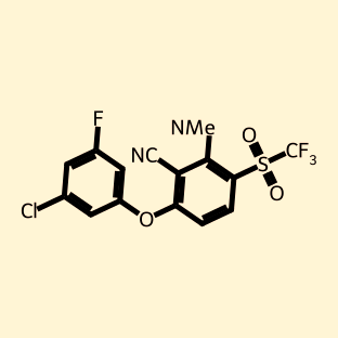 CNc1c(S(=O)(=O)C(F)(F)F)ccc(Oc2cc(F)cc(Cl)c2)c1C#N